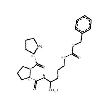 O=C(NCCCC(NC(=O)[C@@H]1CCCN1C(=O)[C@@H]1CCCN1)C(=O)O)OCc1ccccc1